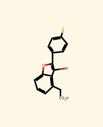 O=C(O)Cc1cccc2oc(-c3ccc(F)cc3)c(Br)c12